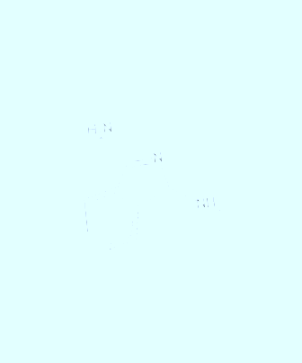 N[C]1N=C(N)c2ccccc21